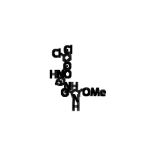 COCC1CNCC(C(=O)NC2CC(NC(=O)COc3ccc(Cl)c(Cl)c3)C3CC2C3)C1